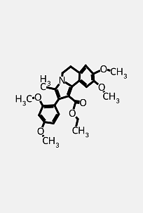 CCOC(=O)c1c(-c2ccc(OC)cc2OC)c(C)n2c1-c1cc(OC)c(OC)cc1CC2